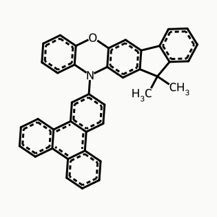 CC1(C)c2ccccc2-c2cc3c(cc21)N(c1ccc2c4ccccc4c4ccccc4c2c1)c1ccccc1O3